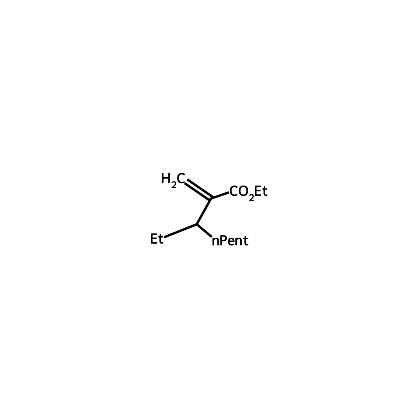 C=C(C(=O)OCC)C(CC)CCCCC